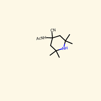 CC(=O)NC1(C#N)CC(C)(C)NC(C)(C)C1